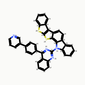 c1cncc(-c2ccc(-c3nc(-n4c5ccccc5c5ccc6c(sc7sc8ccccc8c76)c54)nc4ccccc34)cc2)c1